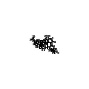 Cc1cc2cc(-c3c(C)cc4c(c3NC(=O)NS(=O)(=O)c3ccn(C5CC5)n3)CCC4)ccn2n1